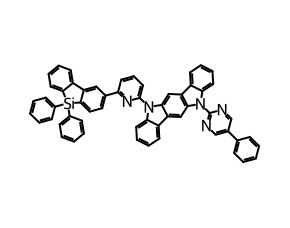 c1ccc(-c2cnc(-n3c4ccccc4c4cc5c(cc43)c3ccccc3n5-c3cccc(-c4ccc5c(c4)-c4ccccc4[Si]5(c4ccccc4)c4ccccc4)n3)nc2)cc1